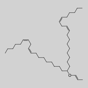 C/C=C/OC(CCCCCCCC/C=C\C/C=C\CCCCC)CCCCCCCC/C=C\C/C=C\CCCCC